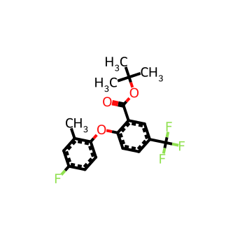 Cc1cc(F)ccc1Oc1ccc(C(F)(F)F)cc1C(=O)OC(C)(C)C